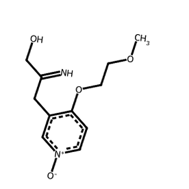 COCCOc1cc[n+]([O-])cc1CC(=N)CO